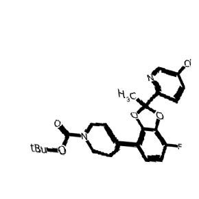 CC(C)(C)OC(=O)N1CC=C(c2ccc(F)c3c2OC(C)(c2ccc(Cl)cn2)O3)CC1